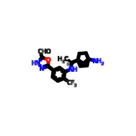 C[C@H](Nc1cc(C2=NNC(C=O)O2)ccc1C(F)(F)F)C12CCC(N)(CC1)C2